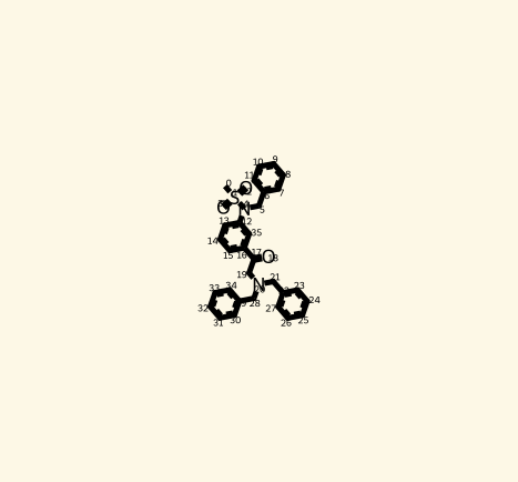 CS(=O)(=O)N(Cc1ccccc1)c1cccc(C(=O)CN(Cc2ccccc2)Cc2ccccc2)c1